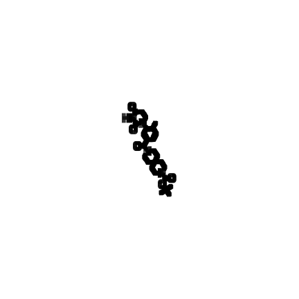 Cc1ccc(C(=O)N2CCC3(CCN(C(=O)OC(C)(C)C)CC3)CC2)cc1N1CCC(=O)NC1=O